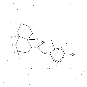 CC1(C)CN(c2ccc3cc(C#N)ccc3c2)[C@H]2CCCC[C@@H]2N1